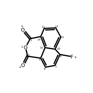 O=C1OC(=O)c2ccc(F)c3cccc1c23